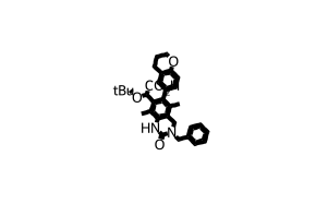 Cc1c2c(c(C)c(C(OC(C)(C)C)C(=O)O)c1-c1ccc3c(c1)CCCO3)NC(=O)N(Cc1ccccc1)C2